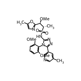 COc1cccc(OC)c1-n1c(NS(=O)(=O)[C@@H](C)[C@H](OC)c2ncc(C)o2)nnc1-c1cncc(C)c1